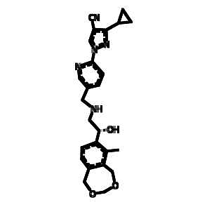 Cc1c([C@@H](O)CNCc2ccc(-n3cc(C#N)c(C4CC4)n3)nc2)ccc2c1COCOC2